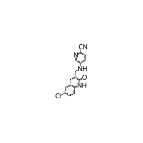 N#Cc1ccc(NCc2cc3cc(Cl)ccc3[nH]c2=O)cn1